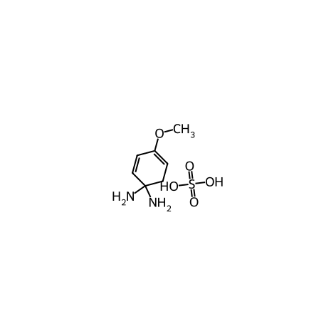 COC1=CCC(N)(N)C=C1.O=S(=O)(O)O